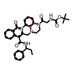 CCC(NC(=O)c1c(CN2CCN(C(=O)CNC(=O)OC(C)(C)C)CC2)n(-c2ccccc2)c(=O)c2ccccc12)c1ccccc1